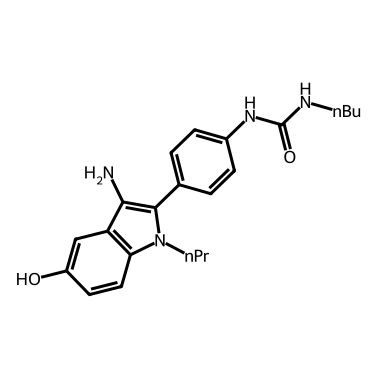 CCCCNC(=O)Nc1ccc(-c2c(N)c3cc(O)ccc3n2CCC)cc1